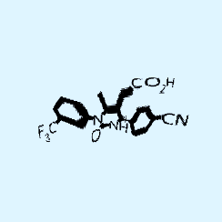 CC1=C(CCC(=O)O)[C@@H](c2ccc(C#N)cc2)NC(=O)N1c1cccc(C(F)(F)F)c1